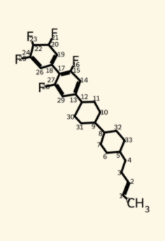 C/C=C/CCC1CCC(C2CCC(c3cc(F)c(C4=CC(F)C(F)C(F)=C4)c(F)c3)CC2)CC1